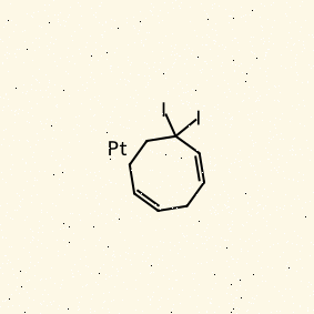 IC1(I)C=CCC=CCC1.[Pt]